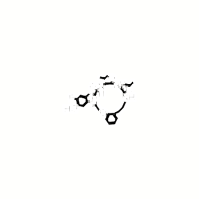 CCC[C@@H]1NC(=O)[C@@H](C(C)C)NC(=O)[C@@H](Cc2ccc(O)c(F)c2)N[C@@H](C)COc2ccccc2CCCNC1=O